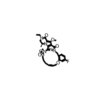 CCN1C[C@H](C)n2c(c(OC)c3c(=O)n4nc(c32)N(C)S(=O)(=O)CCC/C=C\COc2cc(F)ccc2C4)C1=O